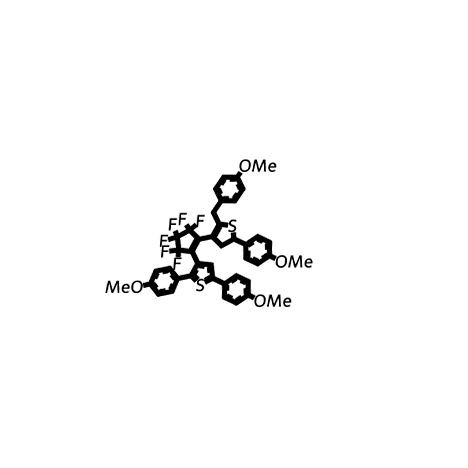 COc1ccc(CC2=C(C3=C(c4cc(-c5ccc(OC)cc5)sc4-c4ccc(OC)cc4)C(F)(F)C(F)(F)C3(F)F)CC(c3ccc(OC)cc3)S2)cc1